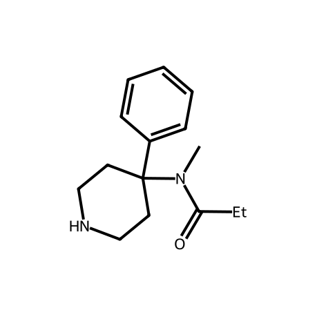 CCC(=O)N(C)C1(c2ccccc2)CCNCC1